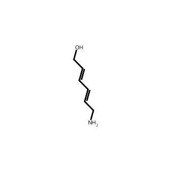 NC/C=C/C=C/CO